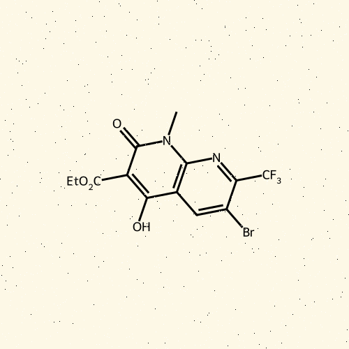 CCOC(=O)c1c(O)c2cc(Br)c(C(F)(F)F)nc2n(C)c1=O